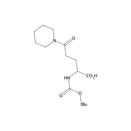 CC(C)(C)OC(=O)NC(CCC(=O)N1CCCCC1)C(=O)O